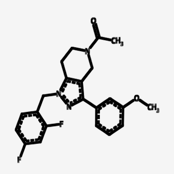 COc1cccc(-c2nn(Cc3ccc(F)cc3F)c3c2CN(C(C)=O)CC3)c1